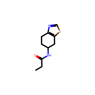 CCC(=O)NC1CCc2ncsc2C1